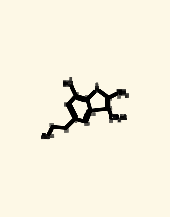 CCOC(=O)c1c(N)sc2c(O)cc(CCC(C)=O)cc12